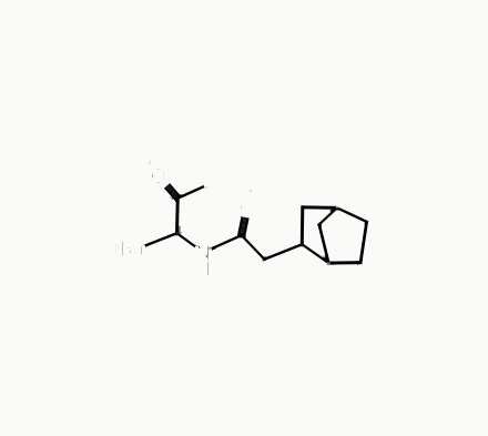 CC(C)(C)C(NC(=O)CC1CC2CCC1C2)C(=O)I